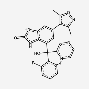 Cc1noc(C)c1-c1cc(C(O)(c2cnccn2)c2c(F)cccc2F)c2[nH]c(=O)[nH]c2c1